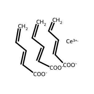 C=CC=CC(=O)[O-].C=CC=CC(=O)[O-].C=CC=CC(=O)[O-].[Ce+3]